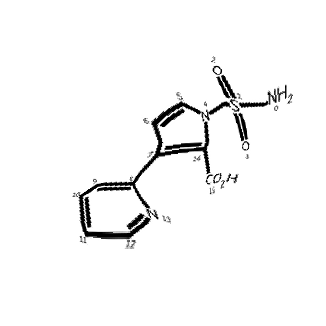 NS(=O)(=O)n1ccc(-c2ccccn2)c1C(=O)O